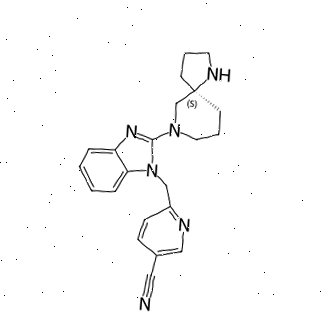 N#Cc1ccc(Cn2c(N3CCC[C@@]4(CCCN4)C3)nc3ccccc32)nc1